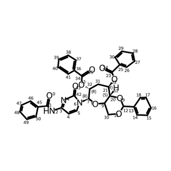 O=C(Nc1ccn([C@@H]2OC3COC(c4ccccc4)O[C@H]3[C@H](OC(=O)c3ccccc3)C[C@H]2OC(=O)c2ccccc2)c(=O)n1)c1ccccc1